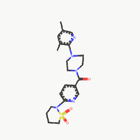 Cc1cnc(N2CCN(C(=O)c3ccc(N4CCCCS4(=O)=O)nc3)CC2)c(C)c1